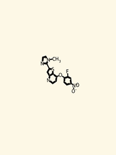 Cn1ccnc1-c1cc2nccc(Oc3ccc([N+](=O)[O-])cc3F)c2s1